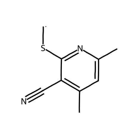 [CH2]Sc1nc(C)cc(C)c1C#N